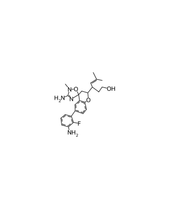 CC(C)=CC(CCO)C1CC2(N=C(N)N(C)O2)c2cc(-c3cccc(N)c3F)ccc2O1